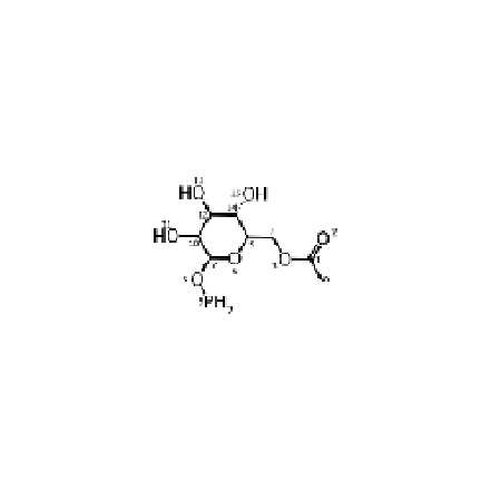 CC(=O)OCC1O[C@@H](OP)C(O)C(O)[C@@H]1O